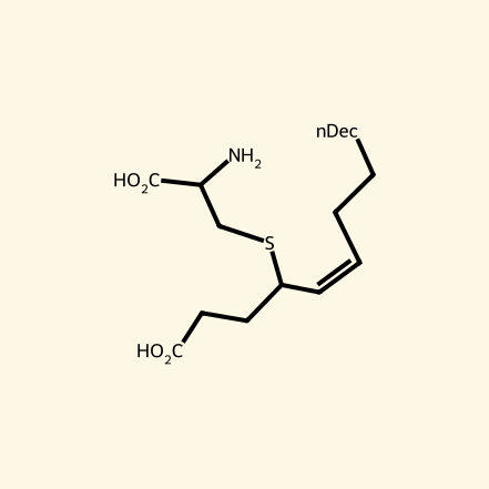 CCCCCCCCCCCC/C=C\C(CCC(=O)O)SCC(N)C(=O)O